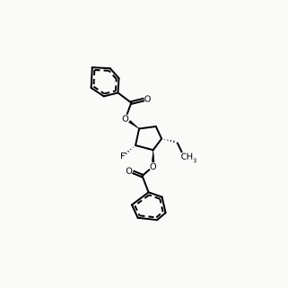 CC[C@H]1C[C@H](OC(=O)c2ccccc2)[C@@H](F)[C@@H]1OC(=O)c1ccccc1